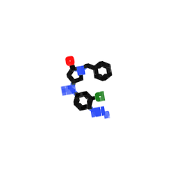 Nc1ccc(N[C@H]2CC(=O)N(Cc3ccccc3)C2)cc1Cl